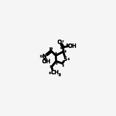 CCC1CSC(C(=O)O)C1/C=N\O